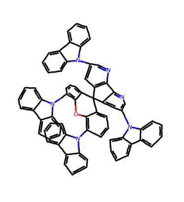 c1cc(-n2c3ccccc3c3ccccc32)c2c(c1)C1(c3cc(-n4c5ccccc5c5ccccc54)cnc3-c3ncc(-n4c5ccccc5c5ccccc54)cc31)c1cccc(-n3c4ccccc4c4ccccc43)c1O2